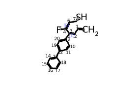 C=C/C=C(\C(F)=C/CS)c1ccc(-c2ccccc2)cc1